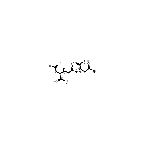 O=C(O)CC(NCC(=O)NC(CC(=O)O)C(=O)O)C(=O)O